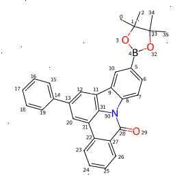 CC1(C)OB(c2ccc3c(c2)c2cc(-c4ccccc4)cc4c5ccccc5c(=O)n3c42)OC1(C)C